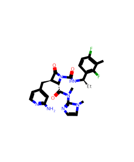 CC[C@@H](NC(=O)N1C(=O)[C@H](Cc2ccnc(N)c2)[C@H]1C(=O)N(C)c1nccn1C)c1ccc(F)c(C)c1F